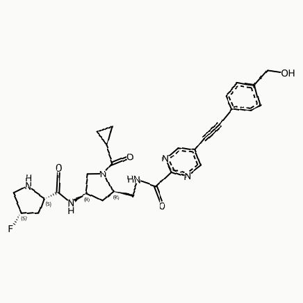 O=C(NC[C@H]1C[C@@H](NC(=O)[C@@H]2C[C@H](F)CN2)CN1C(=O)C1CC1)c1ncc(C#Cc2ccc(CO)cc2)cn1